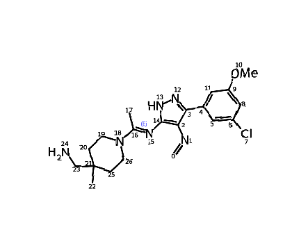 C=Nc1c(-c2cc(Cl)cc(OC)c2)n[nH]c1/N=C(\C)N1CCC(C)(CN)CC1